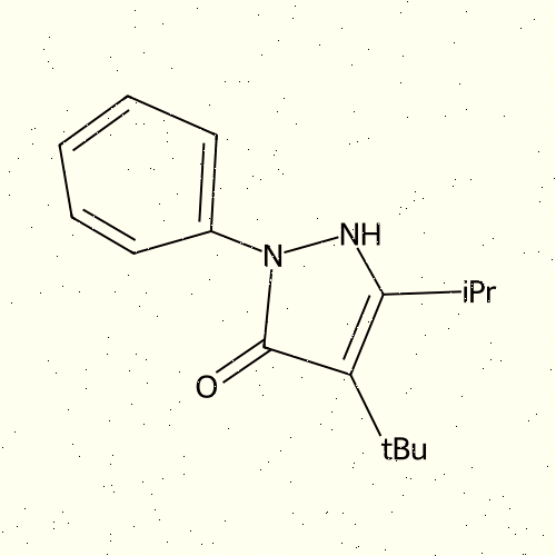 CC(C)c1[nH]n(-c2ccccc2)c(=O)c1C(C)(C)C